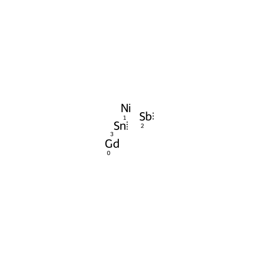 [Gd].[Ni].[Sb].[Sn]